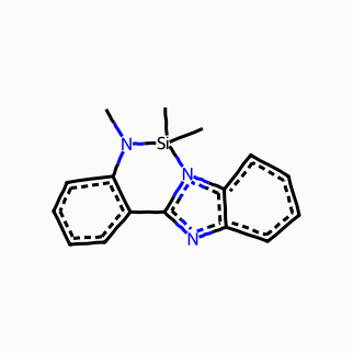 CN1c2ccccc2-c2nc3ccccc3n2[Si]1(C)C